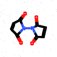 O=C1C=CC(=O)N1N1C(=O)C=CC1=O